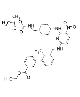 CCOC(=O)c1cccc(-c2cccc(CNc3ncc([N+](=O)[O-])c(NC4CCC(CNC(=O)OC(C)(C)C)CC4)n3)c2C)c1